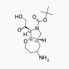 CC(C)(C)OC(=O)N1C[C@@H]2CC(N)CCO[C@H]2[C@H]1C(=O)CO